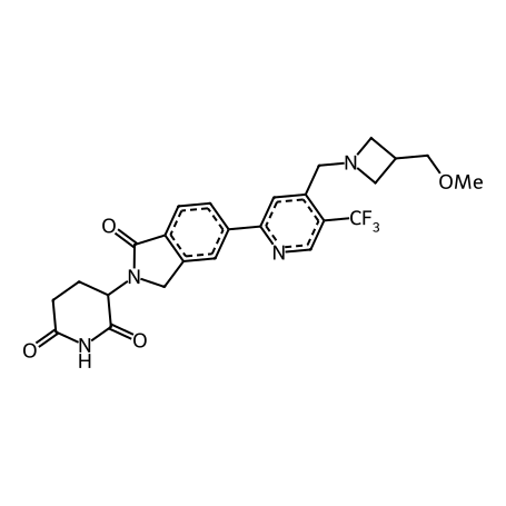 COCC1CN(Cc2cc(-c3ccc4c(c3)CN(C3CCC(=O)NC3=O)C4=O)ncc2C(F)(F)F)C1